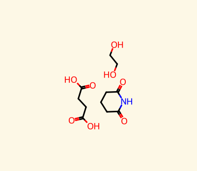 O=C(O)CCC(=O)O.O=C1CCCC(=O)N1.OCCO